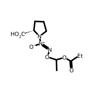 CCC(=O)OC(C)ON=[N+]([O-])N1CCC[C@H]1C(=O)O